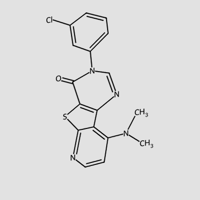 CN(C)c1ccnc2sc3c(=O)n(-c4cccc(Cl)c4)cnc3c12